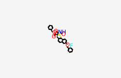 O=C1NC(=O)[C@@](Cc2ccc3cc(OCc4ccccc4F)ccc3c2)(C(=O)OCc2ccccc2)S1